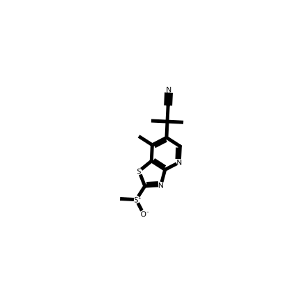 Cc1c(C(C)(C)C#N)cnc2nc([S+](C)[O-])sc12